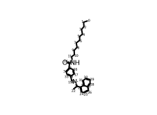 CCCCCCCCCCCCNC(=O)c1ccc(C[N]C(C)c2cccc3ccccc23)cc1